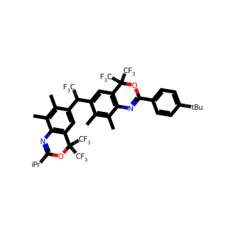 Cc1c(C(c2cc3c(c(C)c2C)N=C(C(C)C)OC3(C(F)(F)F)C(F)(F)F)C(F)(F)F)cc2c(c1C)N=C(c1ccc(C(C)(C)C)cc1)OC2(C(F)(F)F)C(F)(F)F